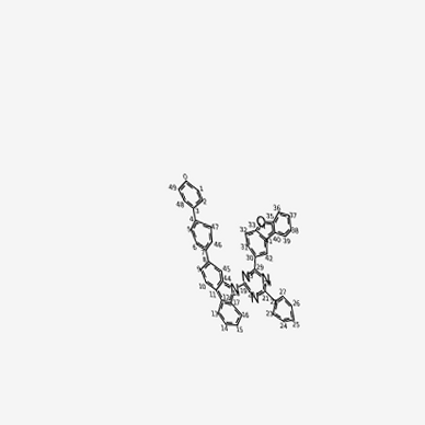 c1ccc(-c2ccc(-c3ccc4c5ccccc5n(-c5nc(-c6ccccc6)nc(-c6ccc7oc8ccccc8c7c6)n5)c4c3)cc2)cc1